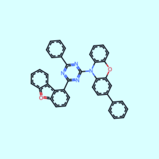 c1ccc(-c2ccc3c(c2)Oc2ccccc2N3c2nc(-c3ccccc3)nc(-c3cccc4oc5ccccc5c34)n2)cc1